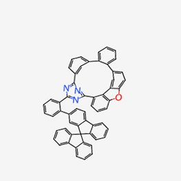 c1ccc(-c2nc3nc(n2)c2cccc4oc5ccc(cc5c42)c2ccccc2c2cccc3c2)c(-c2ccc3c(c2)C2(c4ccccc4-c4ccccc42)c2ccccc2-3)c1